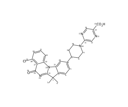 CC1(C)c2ccc(C3CCN(c4cnc(C(=O)O)cn4)CC3)cc2-n2c1nc(=O)c1c(Cl)cccc12